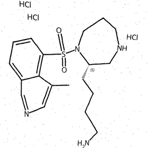 Cc1cncc2cccc(S(=O)(=O)N3CCCNC[C@@H]3CCCCN)c12.Cl.Cl.Cl